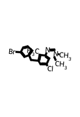 CCN(C)/C=N\c1cc(Cl)cc(Cc2cccc(Br)c2)c1C